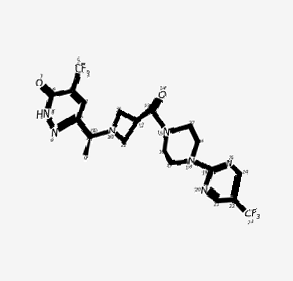 C[C@@H](c1cc(C(F)(F)F)c(=O)[nH]n1)N1CC(C(=O)N2CCN(c3ncc(C(F)(F)F)cn3)CC2)C1